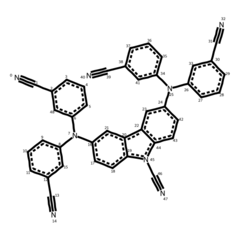 N#Cc1cccc(N(c2cccc(C#N)c2)c2ccc3c(c2)c2cc(N(c4cccc(C#N)c4)c4cccc(C#N)c4)ccc2n3C#N)c1